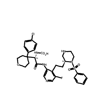 O=C(O)N[C@H](C(=O)Nc1cncc(F)c1CC[C@H]1CNCCN1S(=O)(=O)c1ccccc1)C1(c2ccc(Cl)cc2)CCOCC1